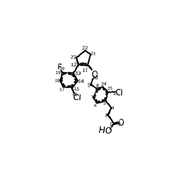 O=C(O)CCc1ccc(COC2=C(c3cc(Cl)ccc3F)CCC2)cc1Cl